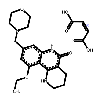 CCOc1cc(CN2CCOCC2)cc2[nH]c(=O)c3c(c12)NCCC3.O=C(O)/C=C\C(=O)O